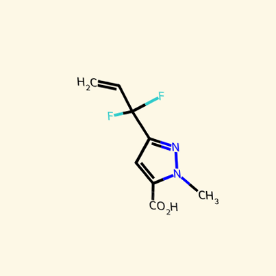 C=CC(F)(F)c1cc(C(=O)O)n(C)n1